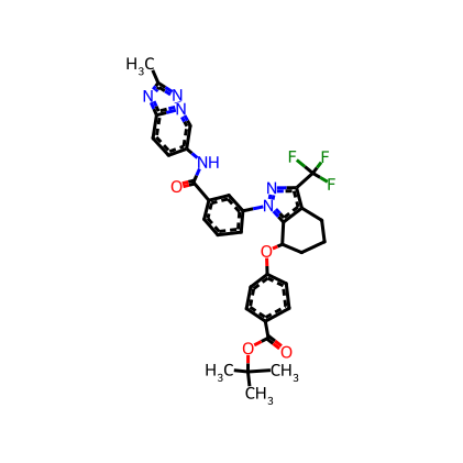 Cc1nc2ccc(NC(=O)c3cccc(-n4nc(C(F)(F)F)c5c4C(Oc4ccc(C(=O)OC(C)(C)C)cc4)CCC5)c3)cn2n1